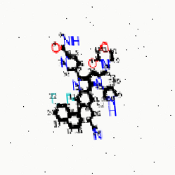 CNC(=O)c1ccc(-c2nc3c(F)c(-c4cccc5ccc(F)cc45)c(CCC#N)cc3c3c2cc([C@@H](C)N2CCOCC2=O)n3[C@H]2[C@H](C)CN[C@@H]2C)cn1